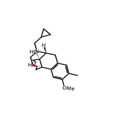 COc1cc2c(cc1C)C[C@H]1N(CC3CC3)CC[C@@]23CCNCC[C@@]13O